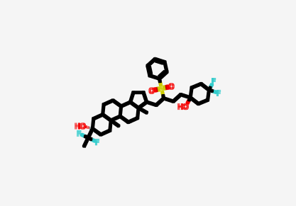 CC12CCC3C(CCC4C[C@](O)(C(C)(F)F)CCC43C)C1CCC2CC(CCC1(O)CCC(F)(F)CC1)S(=O)(=O)c1ccccc1